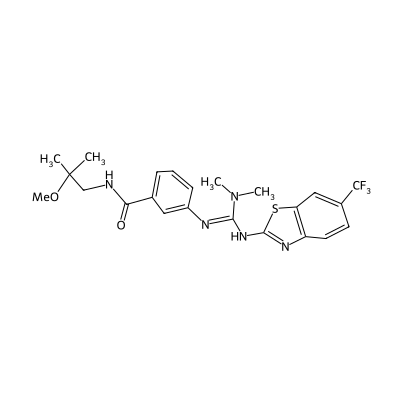 COC(C)(C)CNC(=O)c1cccc(/N=C(/Nc2nc3ccc(C(F)(F)F)cc3s2)N(C)C)c1